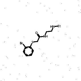 CCNCCNC(=O)CSc1ccccc1Br